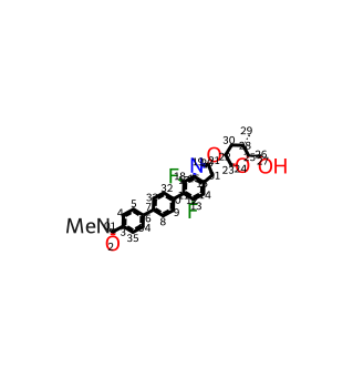 CNC(=O)c1ccc(-c2ccc(-c3c(F)cc4c(c3F)N=C(O[C@H]3CO[C@H](CO)[C@@H](C)C3)C4)cc2)cc1